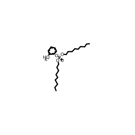 CCCCCCCCCOP(=O)([O-])OCCCCCCCCC.Oc1ccccc1.[K+]